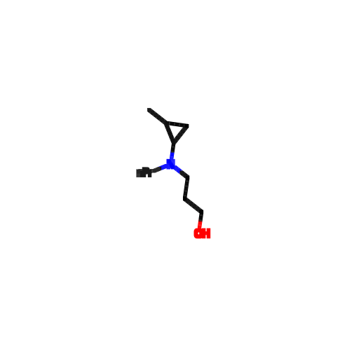 CCCN(CCCO)C1CC1C